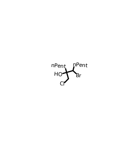 CCCCCC(Br)C(O)(CCl)CCCCC